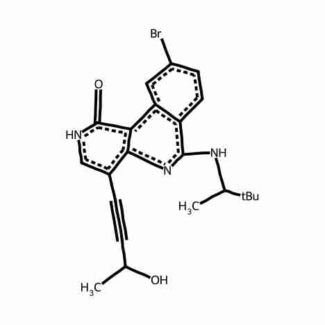 CC(O)C#Cc1c[nH]c(=O)c2c1nc(NC(C)C(C)(C)C)c1ccc(Br)cc12